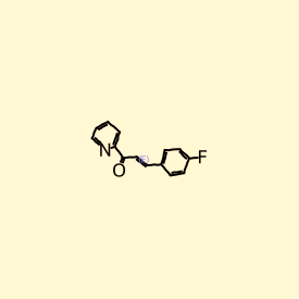 O=C(/C=C/c1ccc(F)cc1)c1ccccn1